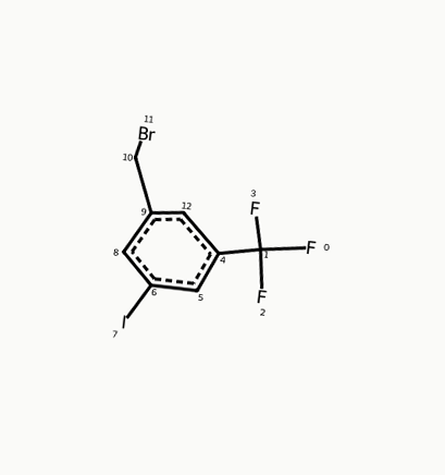 FC(F)(F)c1cc(I)cc(CBr)c1